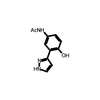 CC(=O)Nc1ccc(O)c(-c2cc[nH]n2)c1